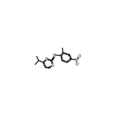 Cc1cc([N+](=O)[O-])ccc1/N=c1/nc(C(C)C)ccs1